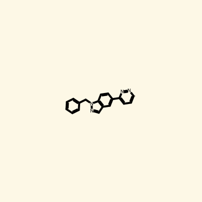 [c]1ccc(-c2ccc3c(cnn3Cc3ccccc3)c2)nn1